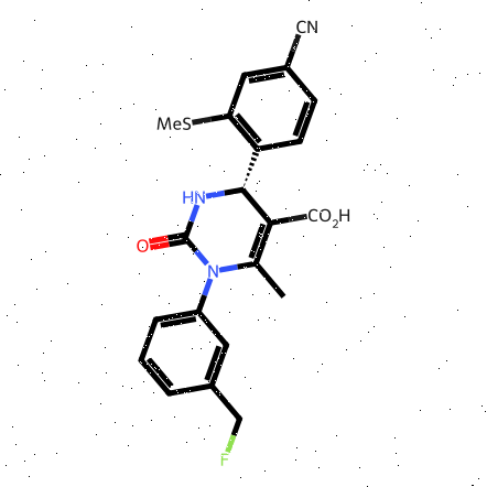 CSc1cc(C#N)ccc1[C@H]1NC(=O)N(c2cccc(CF)c2)C(C)=C1C(=O)O